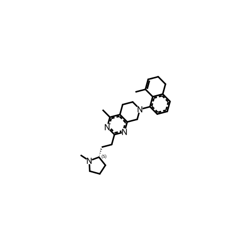 CC1=CCCc2cccc(N3CCc4c(C)nc(CC[C@@H]5CCCN5C)nc4C3)c21